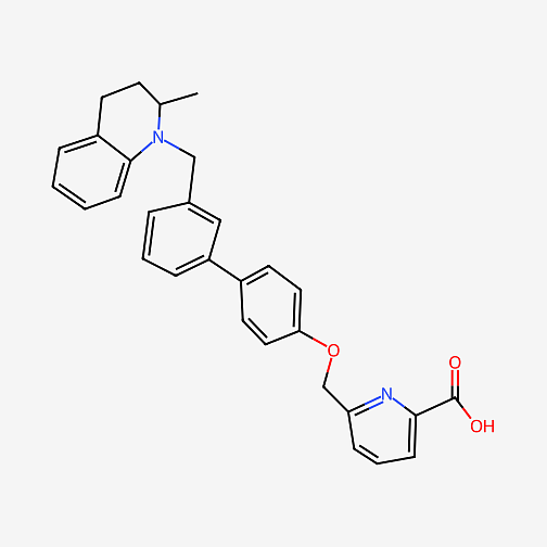 CC1CCc2ccccc2N1Cc1cccc(-c2ccc(OCc3cccc(C(=O)O)n3)cc2)c1